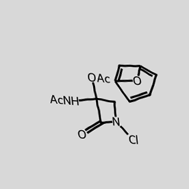 CC(=O)NC1(OC(C)=O)CN(Cl)C1=O.c1cc2cc(c1)O2